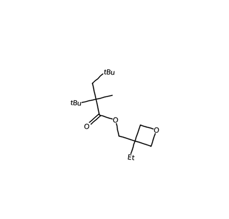 CCC1(COC(=O)C(C)(CC(C)(C)C)C(C)(C)C)COC1